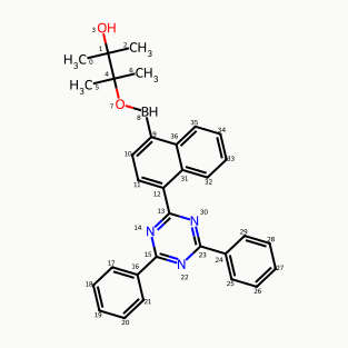 CC(C)(O)C(C)(C)OBc1ccc(-c2nc(-c3ccccc3)nc(-c3ccccc3)n2)c2ccccc12